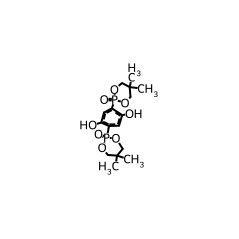 CC1(C)COP(=O)(c2cc(O)c(P3(=O)OCC(C)(C)CO3)cc2O)OC1